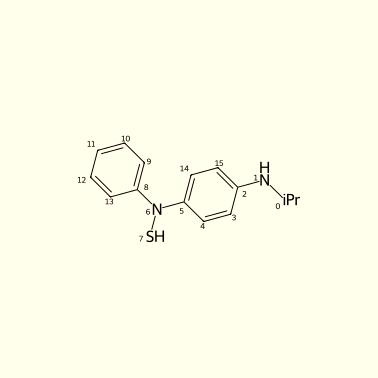 CC(C)Nc1ccc(N(S)c2ccccc2)cc1